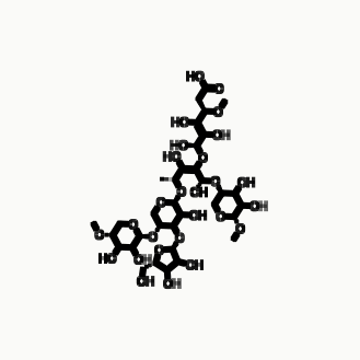 CO[C@@H]1OC[C@@H](O[C@H](O)/C(O[C@@H](O)/C(O)=C(\O)[C@@H](CC(=O)O)OC)=C(/O)[C@@H](C)O[C@@H]2OC[C@@H](O[C@@H]3OC[C@@H](OC)C(O)C3O)C(O[C@@H]3O[C@@H](CO)C(O)C3O)C2O)C(O)C1O